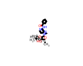 CC[C@H]1O[C@@H](n2cnc3c(NC(=O)c4ccccc4)nccc32)[C@H](O[Si](C)(C)C(C)(C)C)[C@@H]1O